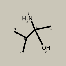 C[C](C)C(C)(N)O